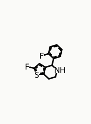 Fc1cc2c(s1)CCNC2c1ccccc1F